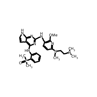 COc1nc(N(C)CCN(C)C)ccc1Nc1nc(Nc2ccccc2P(C)(C)=O)c2cc[nH]c2n1